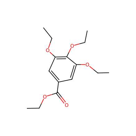 CCOC(=O)c1cc(OCC)c(OCC)c(OCC)c1